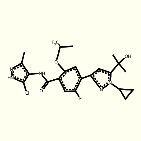 Cc1n[nH]c(Cl)c1NC(=O)c1cc(F)c(-c2cc(C(C)(C)O)n(C3CC3)n2)cc1O[C@@H](C)C(F)(F)F